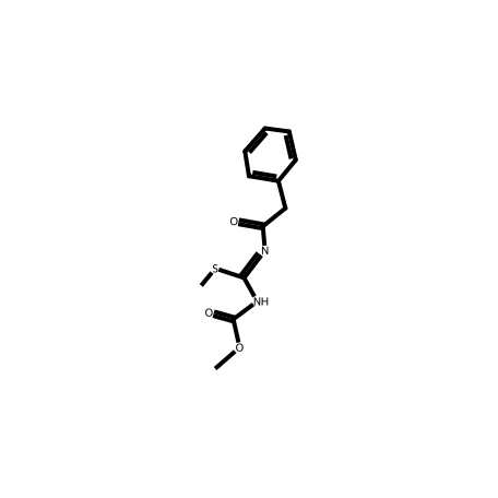 COC(=O)NC(=NC(=O)Cc1ccccc1)SC